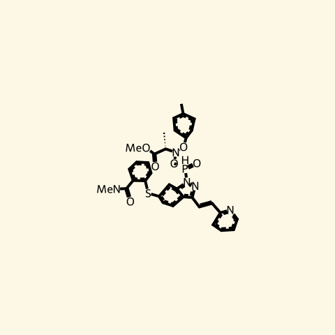 CNC(=O)c1ccccc1Sc1ccc2c(/C=C/c3ccccn3)nn([PH](=O)ON(Oc3ccc(C)cc3)[C@@H](C)C(=O)OC)c2c1